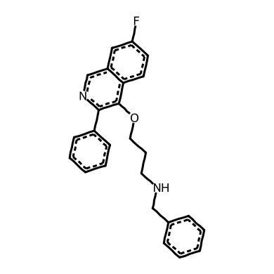 Fc1ccc2c(OCCCNCc3ccccc3)c(-c3ccccc3)ncc2c1